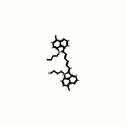 CCCC[N+]1=C(/C=C/C=C/C=c2/c3cccc4c(C)ccc(c43)n2CCCCl)c2cccc3c(C)ccc1c23